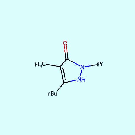 CCCCc1[nH]n(C(C)C)c(=O)c1C